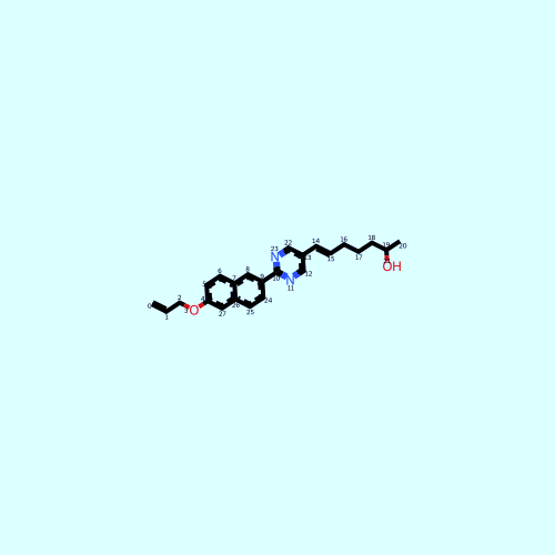 C=CCOc1ccc2cc(-c3ncc(C=CCCCC(C)O)cn3)ccc2c1